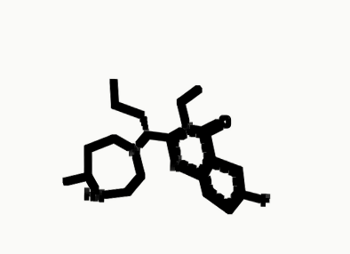 CCC[C@H](c1nc2ccc(F)cc2c(=O)n1CC)N1CCNC(C)CC1